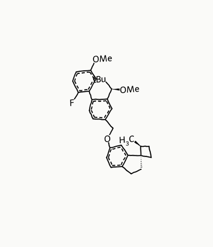 COc1ccc(F)c(-c2ccc(COc3ccc4c(c3)[C@]3(CC4)CC[C@@H]3C)cc2[C@H](OC)C(C)(C)C)c1